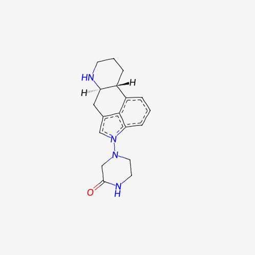 O=C1CN(n2cc3c4c(cccc42)[C@H]2CCCN[C@@H]2C3)CCN1